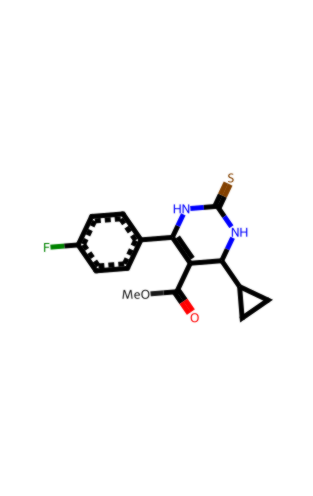 COC(=O)C1=C(c2ccc(F)cc2)NC(=S)NC1C1CC1